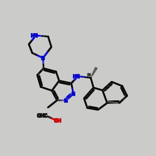 Cc1nnc(N[C@H](C)c2cccc3ccccc23)c2cc(N3CCNCC3)ccc12.O=CO